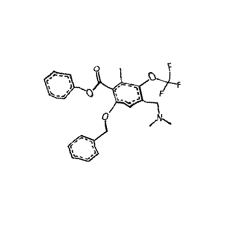 Cc1c(OC(F)(F)F)c(CN(C)C)cc(OCc2ccccc2)c1C(=O)Oc1ccccc1